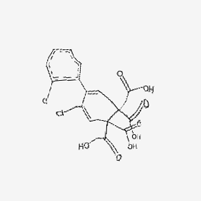 O=C(O)C1(C(=O)O)C=C(Cl)C(c2ccccc2Cl)=CC1(C(=O)O)C(=O)O